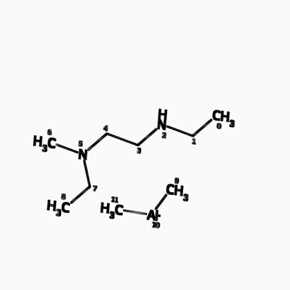 CCNCCN(C)CC.[CH3][Al][CH3]